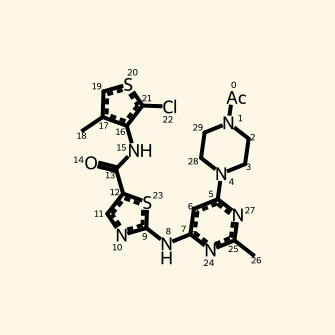 CC(=O)N1CCN(c2cc(Nc3ncc(C(=O)Nc4c(C)csc4Cl)s3)nc(C)n2)CC1